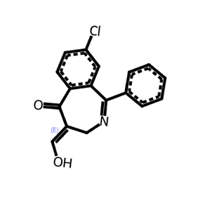 O=C1/C(=C/O)CN=C(c2ccccc2)c2cc(Cl)ccc21